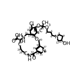 CC(C)(OCCCN1CC[C@@H](O)C1)Oc1cc2c(cc1Cl)CN[C@H](C(=O)O)CCCCNC(=O)c1cncc(c1)CO2